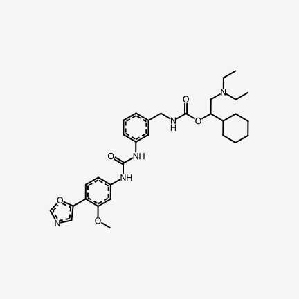 CCN(CC)CC(OC(=O)NCc1cccc(NC(=O)Nc2ccc(-c3cnco3)c(OC)c2)c1)C1CCCCC1